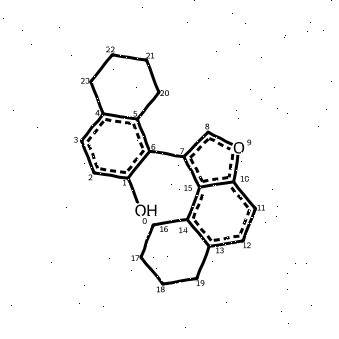 Oc1ccc2c(c1-c1coc3ccc4c(c13)CCCC4)CCCC2